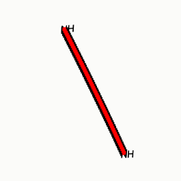 N=N/N=N/N=N/N=N/N=N/N=N/N=N/N=N/N=N/N=N/N=N/N=N/N=N/N=N/N=N/N=N/N=N/N=N/N=N/N=N/N=N/N=N/N=N/N=N/N=N/N=N/N=N/N=N/N=N/N=N/N=N/N=N/N=N/N=N/N=N/N=N/N=N/N=N/N=N/N=N/N=N/N=N/N=N/N=N/N=N/N=N/N=N/N=N/N=N/N=N/N=N/N=N/N=N/N=N/N=N/N=N/N=N/N=N/N=N/N=N/N=N/N=N/N=N/N=N/N=N/N=N